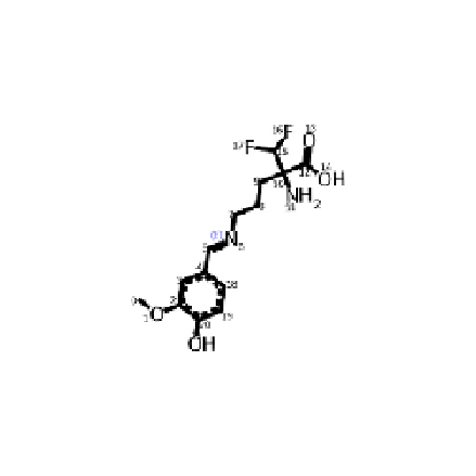 COc1cc(/C=N/CCCC(N)(C(=O)O)C(F)F)ccc1O